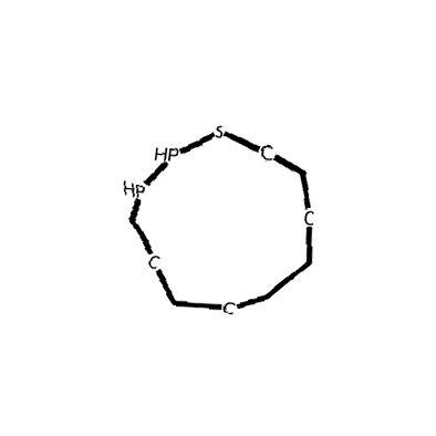 C1CCCCPPSCCCC1